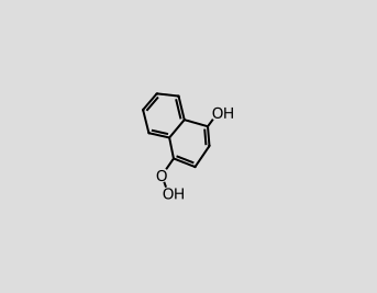 OOc1ccc(O)c2ccccc12